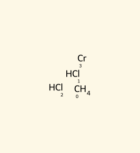 C.Cl.Cl.[Cr]